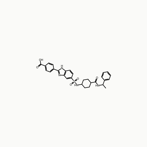 CC(NC(=O)C1CCC(NS(=O)(=O)c2ccc3[nH]c(-c4ccc(C(=O)O)cc4)nc3c2)CC1)c1ccccc1